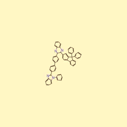 c1ccc(-n2c(-c3ccc(-c4ccc(-c5nc6ccccc6nc5-c5ccc6c(c5)C(c5ccccc5)(c5ccccc5)c5ccccc5-6)cc4)cc3)nc3ccccc32)cc1